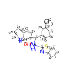 Oc1c(C(Nc2nc3ccccc3s2)c2cccc(C(F)(F)F)c2)ccc2cccnc12